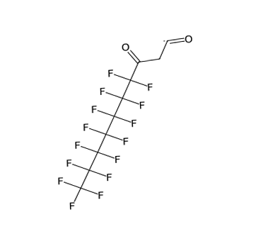 O=[C]CC(=O)C(F)(F)C(F)(F)C(F)(F)C(F)(F)C(F)(F)C(F)(F)C(F)(F)F